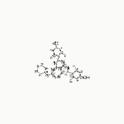 CCc1cc(C)c(-c2nc3n(/c(=N\Cc4c(C)cc(O)cc4C)n2)C(C)=NSC(SC2CCCCC2)=N3)c(C)c1